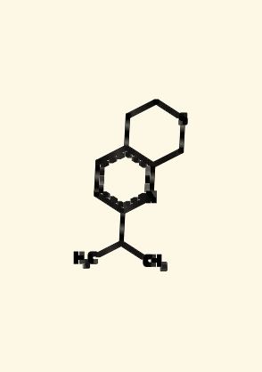 CC(C)c1ccc2c(n1)CSCC2